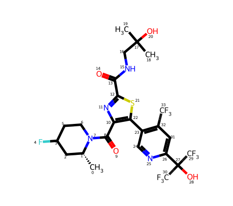 C[C@@H]1CC(F)CCN1C(=O)c1nc(C(=O)NCC(C)(C)O)sc1-c1cnc(C(O)(C(F)(F)F)C(F)(F)F)cc1C(F)(F)F